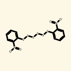 O=[N+]([O-])c1ccccc1SSSSSSc1ccccc1[N+](=O)[O-]